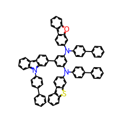 c1ccc(-c2ccc(N(c3cc(-c4ccc5c6ccccc6n(-c6ccc(-c7ccccc7)cc6)c5c4)cc(N(c4ccc(-c5ccccc5)cc4)c4ccc5c(c4)sc4ccccc45)c3)c3ccc4c(c3)oc3ccccc34)cc2)cc1